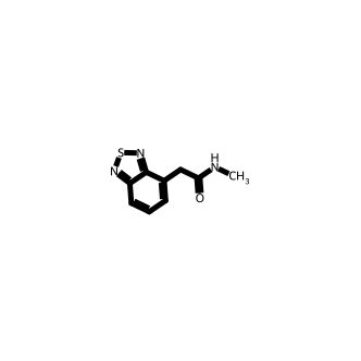 CNC(=O)Cc1cccc2nsnc12